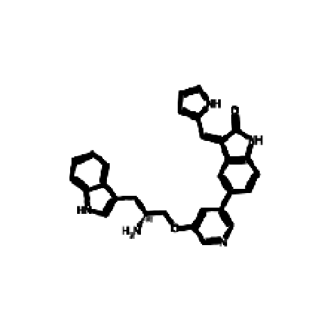 N[C@@H](COc1cncc(-c2ccc3c(c2)C(=Cc2ccc[nH]2)C(=O)N3)c1)Cc1c[nH]c2ccccc12